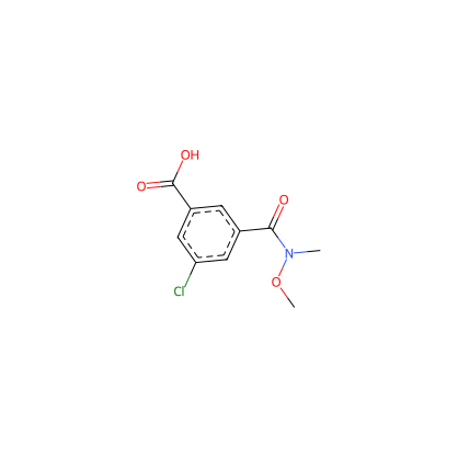 CON(C)C(=O)c1cc(Cl)cc(C(=O)O)c1